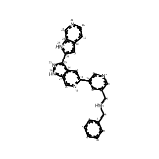 c1ccc(CNCc2cncc(-c3cc4c(-c5cc6ccncc6[nH]5)n[nH]c4cn3)c2)cc1